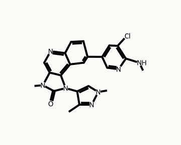 CNc1ncc(-c2ccc3ncc4c(c3c2)n(-c2cn(C)nc2C)c(=O)n4C)cc1Cl